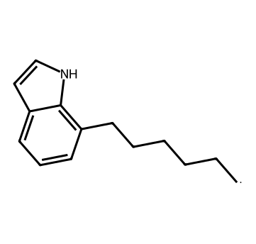 [CH2]CCCCCc1cccc2cc[nH]c12